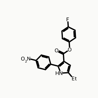 CCc1cc(C(=O)Oc2ccc(F)cc2)c(-c2ccc([N+](=O)[O-])cc2)[nH]1